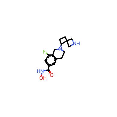 O=C(NO)c1cc(F)c2c(c1)CCN(C1CCC13CNC3)C2